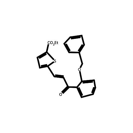 CCOC(=O)c1ccc(/C=C/C(=O)c2ccccc2OCc2ccccc2)s1